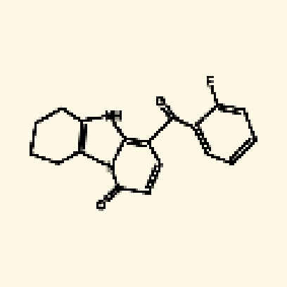 O=C(c1ccccc1F)c1ccc(=O)n2c3c([nH]c12)CCCC3